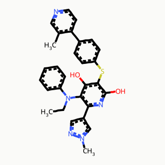 CCN(c1ccccc1)c1c(-c2cnn(C)c2)nc(O)c(Sc2ccc(-c3ccncc3C)cc2)c1O